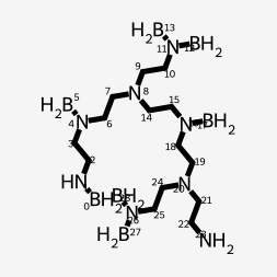 BNCCN(B)CCN(CCN(B)B)CCN(B)CCN(CCN)CCN(B)B